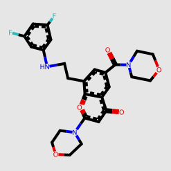 O=C(c1cc(CCNc2cc(F)cc(F)c2)c2oc(N3CCOCC3)cc(=O)c2c1)N1CCOCC1